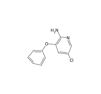 Nc1ncc(Cl)cc1Oc1ccccc1